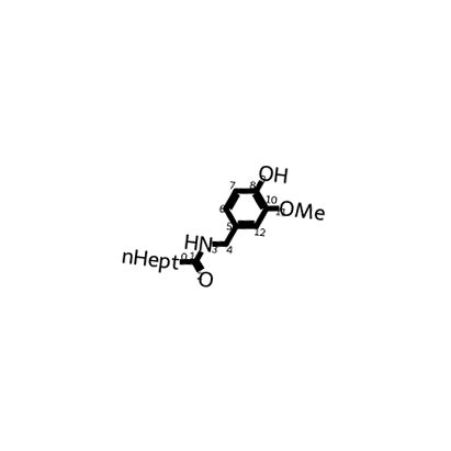 CCCCCCCC(=O)NCc1ccc(O)c(OC)c1